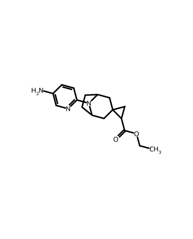 CCOC(=O)C1CC12CC1CCC(C2)N1c1ccc(N)cn1